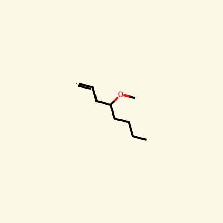 [CH]=CCC(CCCC)OC